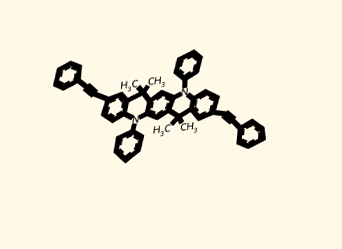 CC1(C)c2cc(C#Cc3ccccc3)ccc2N(c2ccccc2)c2cc3c(cc21)N(c1ccccc1)c1ccc(C#Cc2ccccc2)cc1C3(C)C